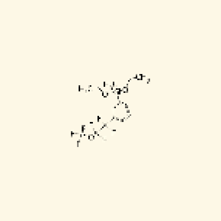 CCO[Si](C)(OCC)c1cccc(C(F)(F)C(F)(F)OC(F)(F)F)c1